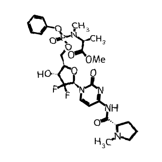 COC(=O)[C@H](C)N(C)P(=O)(OC[C@H]1O[C@@H](n2ccc(NC(=O)[C@@H]3CCCN3C)nc2=O)C(F)(F)[C@@H]1O)Oc1ccccc1